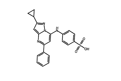 O=S(=O)(O)c1ccc(Nc2cc(-c3ccccc3)nc3cc(C4CC4)nn23)cc1